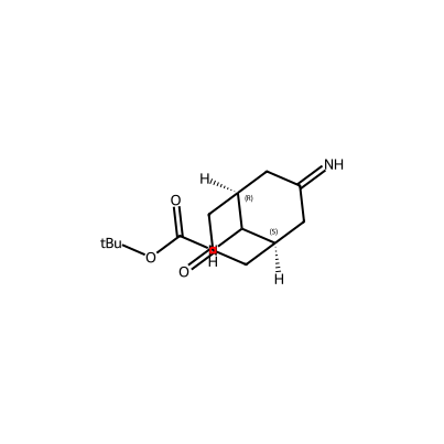 CC(C)(C)OC(=O)NC1[C@@H]2CC(=N)C[C@H]1CC(=O)C2